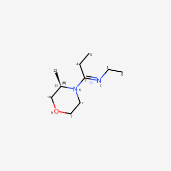 CC/N=C(\CC)N1CCOC[C@H]1C